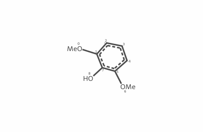 COc1[c]ccc(OC)c1O